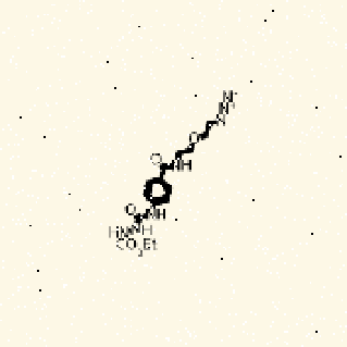 CCOC(=O)NNC(=O)Nc1ccc(C(=O)NCCOCCN=[N+]=[N-])cc1